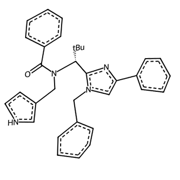 CC(C)(C)[C@H](c1nc(-c2ccccc2)cn1Cc1ccccc1)N(Cc1cc[nH]c1)C(=O)c1ccccc1